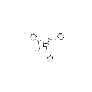 COc1ccc(C2C/C(=N\O)c3c(SCc4ccccc4)sc(C(=O)NCc4cccc(C)c4)c3C2)cc1